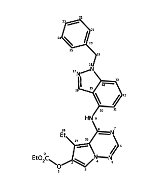 CCOC(=O)Oc1cn2ncnc(Nc3cccc4c3cnn4Cc3ccccc3)c2c1CC